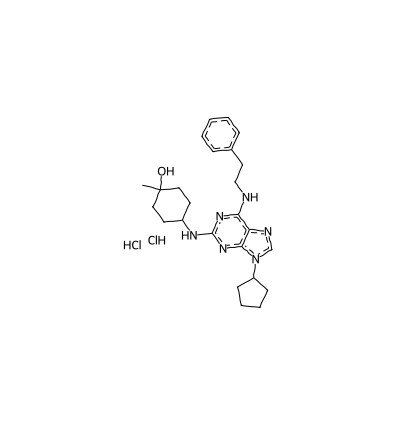 CC1(O)CCC(Nc2nc(NCCc3ccccc3)c3ncn(C4CCCC4)c3n2)CC1.Cl.Cl